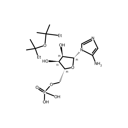 CCC(C)(C)OC(C)(C)CC.Nc1cncn1[C@@H]1O[C@H](COP(=O)(O)O)[C@@H](O)[C@H]1O